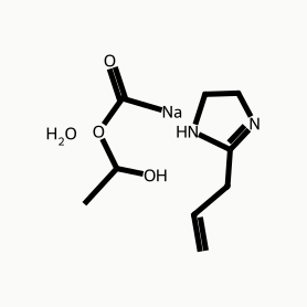 C=CCC1=NCCN1.CC(O)O[C](=O)[Na].O